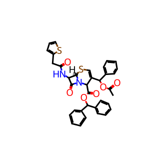 CC(=O)OC(C1=CS[C@@H]2C(NC(=O)Cc3cccs3)C(=O)N2C1C(=O)OC(c1ccccc1)c1ccccc1)c1ccccc1